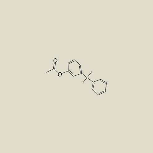 CC(=O)Oc1cccc(C(C)(C)c2ccccc2)c1